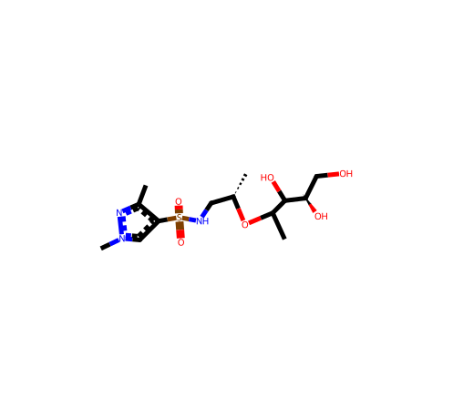 Cc1nn(C)cc1S(=O)(=O)NC[C@H](C)OC(C)C(O)[C@H](O)CO